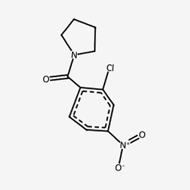 O=C(c1ccc([N+](=O)[O-])cc1Cl)N1CCCC1